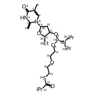 C=C1NC(=O)C(C)=CN1[C@H]1CC(OP(OCCOCCSC(=O)C(C)C)N(C(C)C)C(C)C)[C@@H](CC)O1